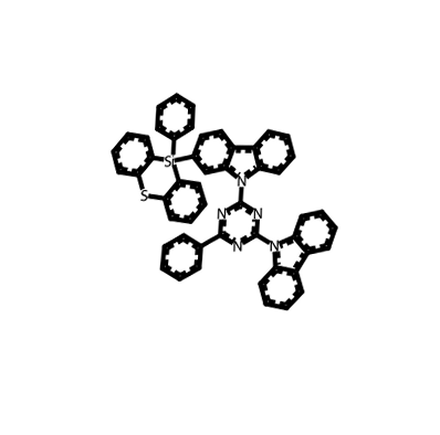 c1ccc(-c2nc(-n3c4ccccc4c4ccccc43)nc(-n3c4ccccc4c4ccc([Si]5(c6ccccc6)c6ccccc6Sc6ccccc65)cc43)n2)cc1